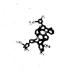 N#Cc1ccc(-n2c3ccccc3c3cc(-c4cc(C(F)(F)F)cc(C(F)(F)F)c4)ccc32)c(-c2cc(-c3ccc(C(F)(F)F)cc3C#N)ccc2-n2c3ccccc3c3cc(-c4cc(C(F)(F)F)cc(C(F)(F)F)c4)ccc32)c1